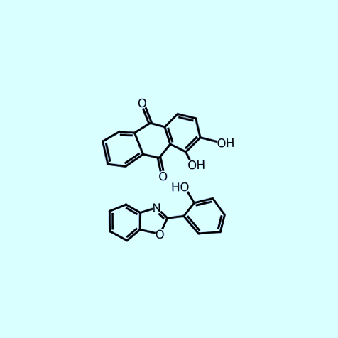 O=C1c2ccccc2C(=O)c2c1ccc(O)c2O.Oc1ccccc1-c1nc2ccccc2o1